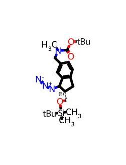 CN(Cc1ccc2c(c1)C(N=[N+]=[N-])[C@@H](CO[Si](C)(C)C(C)(C)C)C2)C(=O)OC(C)(C)C